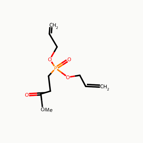 C=CCOP(=O)(CCC(=O)OC)OCC=C